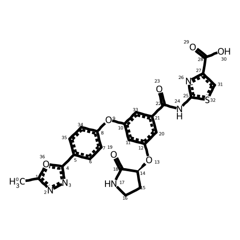 Cc1nnc(-c2ccc(Oc3cc(O[C@H]4CCNC4=O)cc(C(=O)Nc4nc(C(=O)O)cs4)c3)cc2)o1